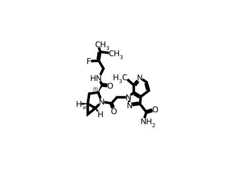 CC(C)=C(F)CNC(=O)[C@@H]1C[C@H]2C[C@H]2N1C(=O)Cn1nc(C(N)=O)c2ccnc(C)c21